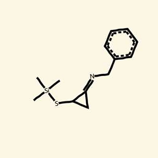 C[Si](C)(C)SC1CC1=NCc1ccccc1